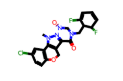 Cn1nc(C(=O)N(CN=O)CC2C(F)=CC=CC2F)c2c1-c1cc(Cl)ccc1OC2